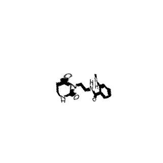 CNc1ccccc1C(=O)NCCN1C(=O)CCNC1=O